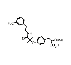 COC(Cc1ccc(OC(C)(C)C(=O)NCCc2cccc(C(F)(F)F)c2)cc1)C(=O)O